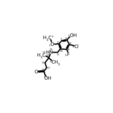 COc1cc(O)c(Cl)c(F)c1CNC(C)(C)CCC(=O)O